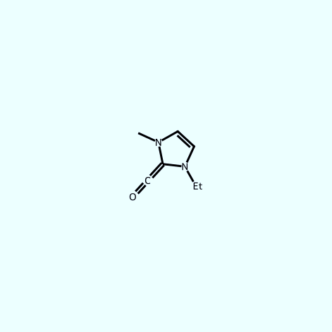 CCN1C=CN(C)C1=C=O